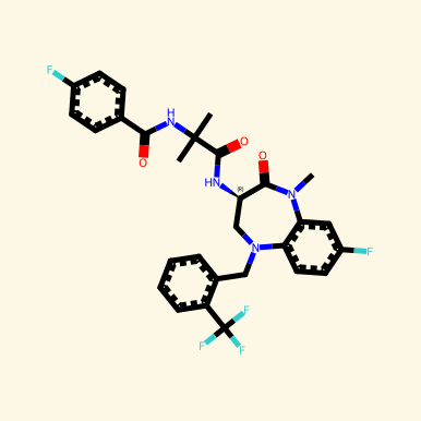 CN1C(=O)[C@H](NC(=O)C(C)(C)NC(=O)c2ccc(F)cc2)CN(Cc2ccccc2C(F)(F)F)c2ccc(F)cc21